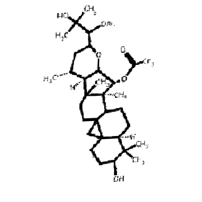 CC(=O)OC(C1C[C@@H](C)[C@H]2C(O1)[C@H](OC(=O)C(F)(F)F)[C@@]1(C)C3CC[C@H]4C(C)(C)C(O)CCC45CC35CCC21C)C(C)(C)O